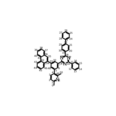 Cc1ccc(-c2cc(-c3nc(-c4ccccc4)nc(-c4ccc(-c5ccccc5)cc4)n3)cc(-c3cc4ccccc4c4ccccc34)c2)c(C)n1